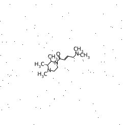 CC1C(C)N(C(=O)/C=C/CN(C)C)CCN1C